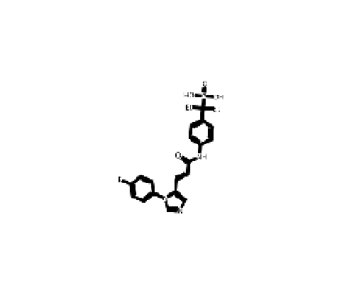 CCC(CC)(c1ccc(NC(=O)/C=C/c2cncn2-c2ccc(F)cc2)cc1)P(=O)(O)O